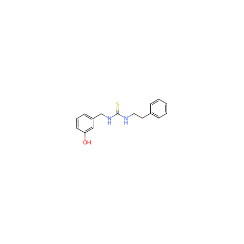 Oc1cccc(CNC(=S)NCCc2ccccc2)c1